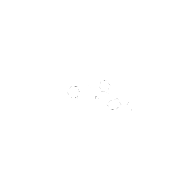 CC(Nc1nccc2c1N(Cc1ccc(C(F)(F)F)cc1)CCO2)c1ccc(C(=O)O)cc1